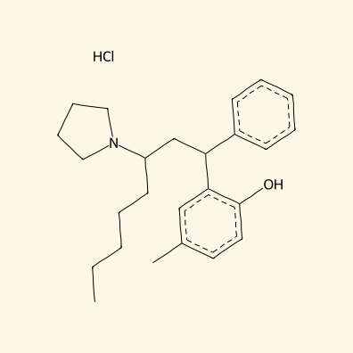 CCCCCC(CC(c1ccccc1)c1cc(C)ccc1O)N1CCCC1.Cl